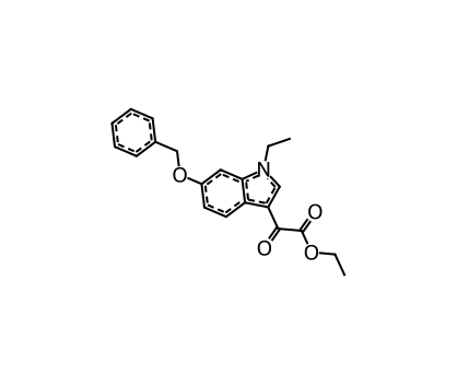 CCOC(=O)C(=O)c1cn(CC)c2cc(OCc3ccccc3)ccc12